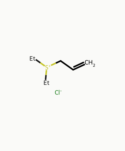 C=CC[S+](CC)CC.[Cl-]